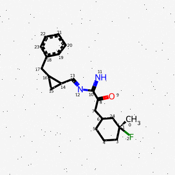 C[C@@]1(F)CCCC(CC(=O)C(=N)/N=C/C2CC2Cc2ccccc2)C1